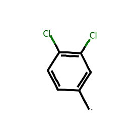 [CH2]c1ccc(Cl)c(Cl)c1